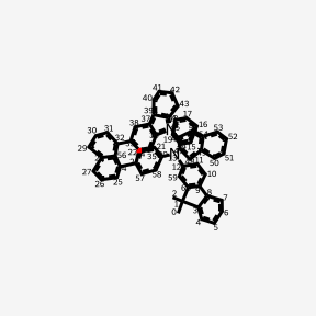 CC1(C)c2ccccc2-c2ccc(N(c3ccccc3)c3ccc(-c4cccc5cccc(-c6ccc7c(c6)c6ccccc6n7-c6ccc7ccccc7c6)c45)cc3)cc21